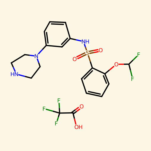 O=C(O)C(F)(F)F.O=S(=O)(Nc1cccc(N2CCNCC2)c1)c1ccccc1OC(F)F